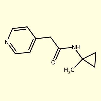 CC1(NC(=O)Cc2ccncc2)CC1